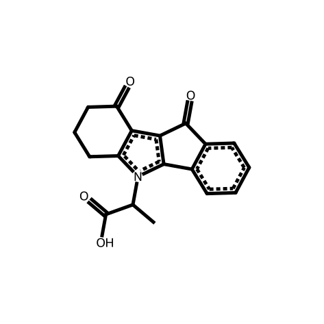 CC(C(=O)O)n1c2c(c3c1-c1ccccc1C3=O)C(=O)CCC2